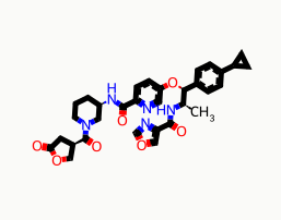 C[C@H](NC(=O)c1cocn1)[C@H](Oc1ccc(C(=O)N[C@H]2CCCN(C(=O)[C@H]3COC(=O)C3)C2)nc1)c1ccc(C2CC2)cc1